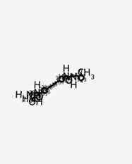 Cc1ccccc1CNCC(=O)Nc1ccc(C#CC#Cc2ccc(C(=O)N[C@@H](CN)C(=O)NO)cc2)cc1